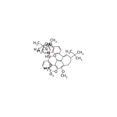 COc1ccc(C2=CC(C(C)(C)C)CCc3c(OC)c(OC)c(OC)c(O[SiH](c4ccccc4)c4ccccc4)c32)cc1O[Si](C)(C)C(C)(C)C